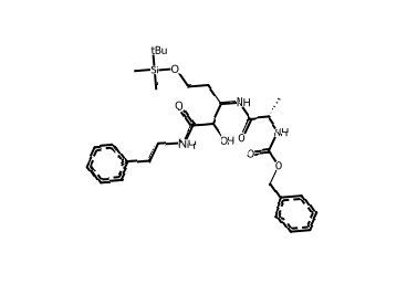 C[C@H](NC(=O)OCc1ccccc1)C(=O)NC(CCO[Si](C)(C)C(C)(C)C)C(O)C(=O)NCCc1ccccc1